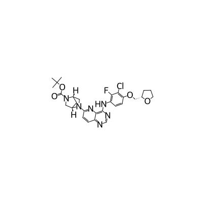 CC(C)(C)OC(=O)N1C[C@@H]2C[C@H]1CN2c1ccc2ncnc(Nc3ccc(OC[C@@H]4CCCO4)c(Cl)c3F)c2n1